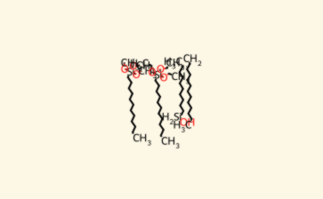 CCCCCCCCCCCC[Si](OC)(OC)OC.CCCCCCCCCCCC[Si](OCC)(OCC)OCC.CCCCCCCCCC[SiH2]O.[CH2]CCCCCCCCCCCC